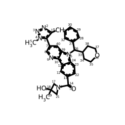 Cc1nnn(C)c1-c1cnc2c3cc(C(=O)N4CC(C)(O)C4)ccc3n(C(c3ccccc3)C3CCOCC3)c2c1